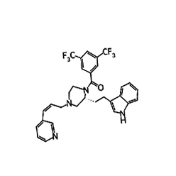 O=C(c1cc(C(F)(F)F)cc(C(F)(F)F)c1)N1CCN(C/C=C\c2cccnc2)C[C@H]1CCc1c[nH]c2ccccc12